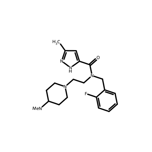 CNC1CCN(CCN(Cc2ccccc2F)C(=O)c2cc(C)n[nH]2)CC1